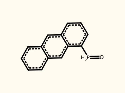 O=[PH2]c1cccc2cc3ccccc3cc12